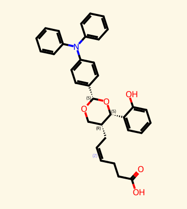 O=C(O)CC/C=C\C[C@@H]1CO[C@H](c2ccc(N(c3ccccc3)c3ccccc3)cc2)O[C@@H]1c1ccccc1O